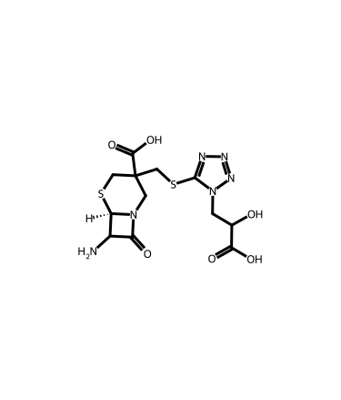 NC1C(=O)N2CC(CSc3nnnn3CC(O)C(=O)O)(C(=O)O)CS[C@H]12